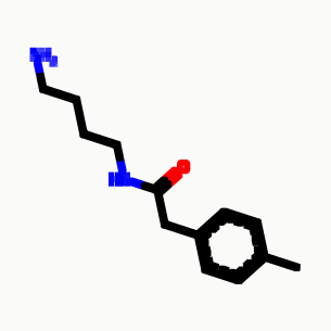 Cc1ccc(CC(=O)NCCCCN)cc1